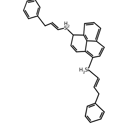 C(=C[SiH2]c1ccc2cccc3c2c1C=CC3[SiH2]C=CCc1ccccc1)Cc1ccccc1